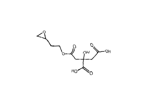 O=C(O)CC(O)(CC(=O)OCCC1CO1)C(=O)O